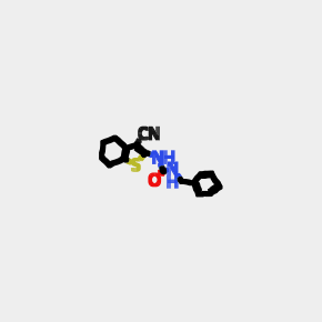 N#Cc1c(NC(=O)NCc2ccccc2)sc2c1CCCC2